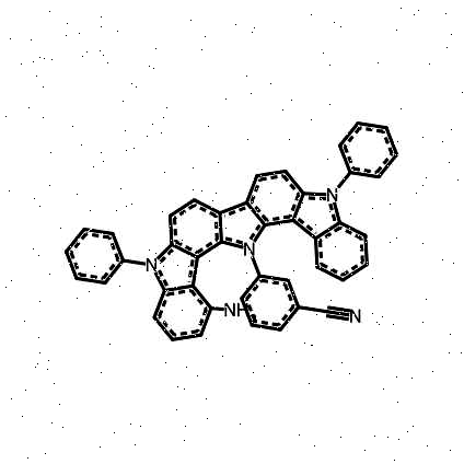 N#Cc1cccc(-n2c3c(ccc4c3c3ccccc3n4-c3ccccc3)c3ccc4c(c5c(N)cccc5n4-c4ccccc4)c32)c1